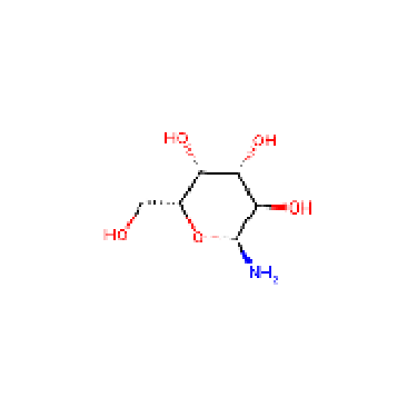 N[C@H]1O[C@H](CO)[C@H](O)[C@H](O)[C@H]1O